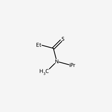 CCC(=S)N(C)C(C)C